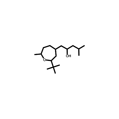 CC(C)CC(O)CC1CCC(C)OC(C(C)(C)C)C1